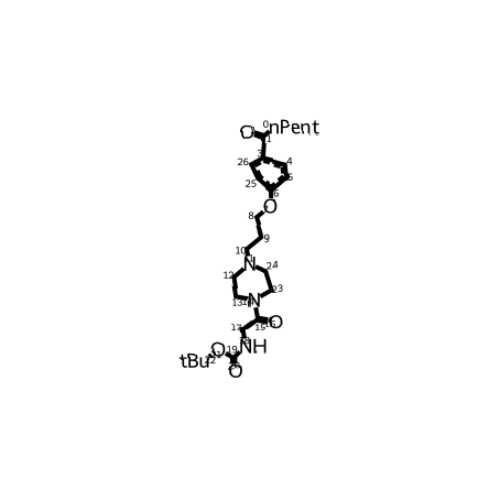 CCCCCC(=O)c1ccc(OCCCN2CCN(C(=O)CNC(=O)OC(C)(C)C)CC2)cc1